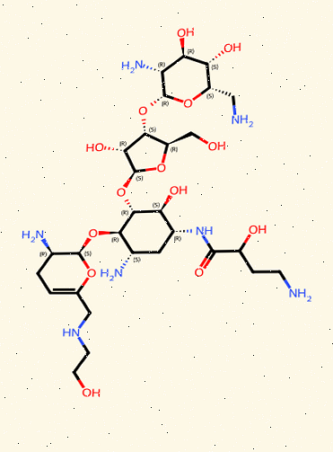 NCCC(O)C(=O)N[C@@H]1C[C@H](N)[C@@H](O[C@H]2OC(CNCCO)=CC[C@H]2N)[C@H](O[C@@H]2O[C@H](CO)[C@@H](O[C@H]3O[C@@H](CN)[C@@H](O)[C@H](O)[C@H]3N)[C@H]2O)[C@H]1O